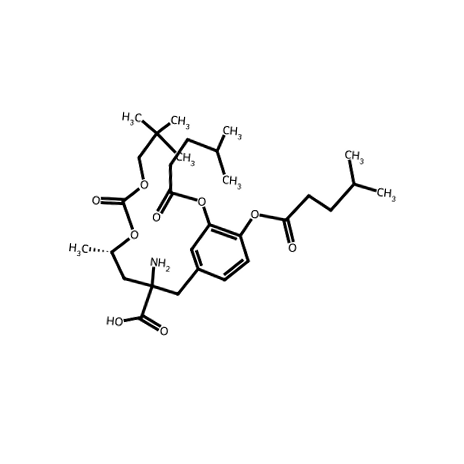 CC(C)CCC(=O)Oc1ccc(CC(N)(C[C@H](C)OC(=O)OCC(C)(C)C)C(=O)O)cc1OC(=O)CCC(C)C